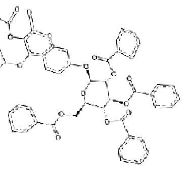 CC(=O)Oc1c(OC(C)C)c2ccc(O[C@@H]3O[C@H](COC(=O)c4ccccc4)[C@@H](OC(=O)c4ccccc4)[C@H](OC(=O)c4ccccc4)[C@H]3OC(=O)c3ccccc3)cc2oc1=O